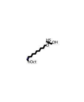 CCCCCCCC/C=C\CCCCCCCCOC(C)(S)CO